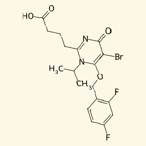 CC(C)n1c(CCCC(=O)O)nc(=O)c(Br)c1OCc1ccc(F)cc1F